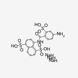 Nc1ccc(C(=O)Nc2ccc(S(=O)(=O)O)c3cccc(S(=O)(=O)O)c23)c(S(=O)(=O)O)c1.[NaH].[NaH].[NaH]